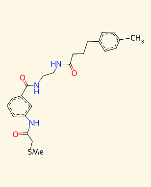 CSCC(=O)Nc1cccc(C(=O)NCCNC(=O)CCCc2ccc(C)cc2)c1